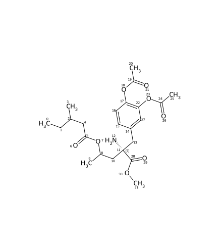 CCC(C)CC(=O)OC(C)C[C@@](N)(Cc1ccc(OC(C)=O)c(OC(C)=O)c1)C(=O)OC